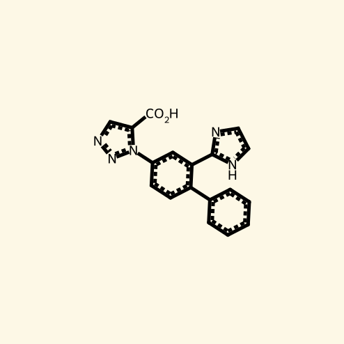 O=C(O)c1cnnn1-c1ccc(-c2ccccc2)c(-c2ncc[nH]2)c1